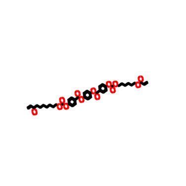 C=CC(=O)CCCCCCCOC(=O)Oc1ccc(C(=O)Oc2ccc(OC(=O)c3ccc(OC(=O)OCCCCCCOC(=O)C=C)cc3)cc2)cc1